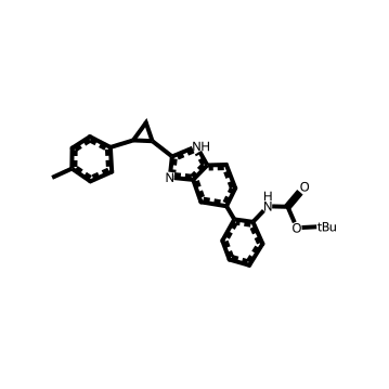 Cc1ccc(C2CC2c2nc3cc(-c4ccccc4NC(=O)OC(C)(C)C)ccc3[nH]2)cc1